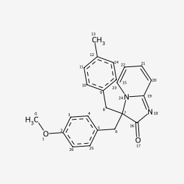 COc1ccc(CC2(Cc3ccc(C)cc3)C(=O)N=C3C=CC=CN32)cc1